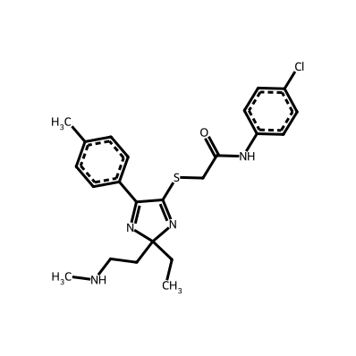 CCC1(CCNC)N=C(SCC(=O)Nc2ccc(Cl)cc2)C(c2ccc(C)cc2)=N1